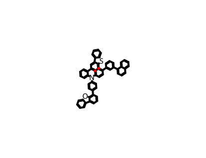 c1cc(-c2ccc(N(c3ccc(-c4cccc5c4oc4ccccc45)cc3)c3ccccc3-c3ccc4sc5ccccc5c4c3)cc2)cc(-c2cccc3ccccc23)c1